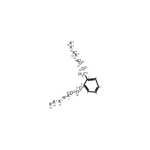 Cc1ccccc1.[K+].[K+].[K+].[K+].[K+].[K+].[K+].[K+].[K+].[K+].[O-2].[O-2].[O-2].[O-2].[O-2]